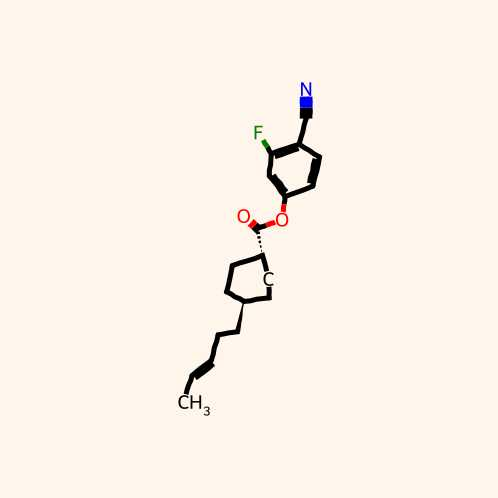 C/C=C/CC[C@H]1CC[C@H](C(=O)Oc2ccc(C#N)c(F)c2)CC1